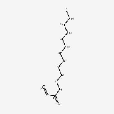 C=C([C]=O)CCCCCCCCCCCC